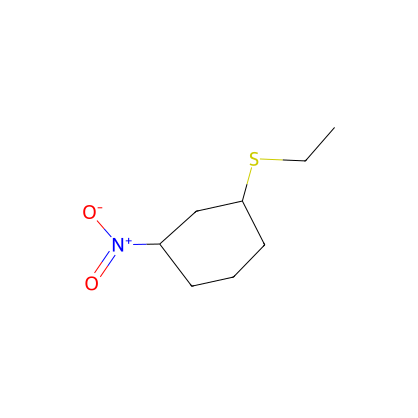 CCSC1CCCC([N+](=O)[O-])C1